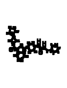 O=C(NCc1cccnc1)Nc1ccc(-n2cc(C(=O)N3CC(N4CCCC4)C3)c3ccccc32)cc1